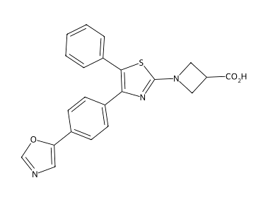 O=C(O)C1CN(c2nc(-c3ccc(-c4cnco4)cc3)c(-c3ccccc3)s2)C1